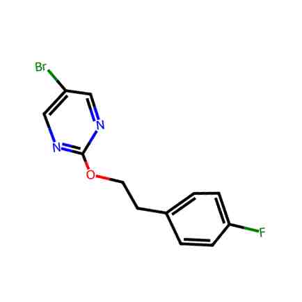 Fc1ccc(CCOc2ncc(Br)cn2)cc1